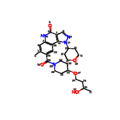 Cc1cc2[nH]c(=O)c3cnn(C4CCOCC4)c3c2cc1C(=O)N1CCC(OCCC(C)O)CC1